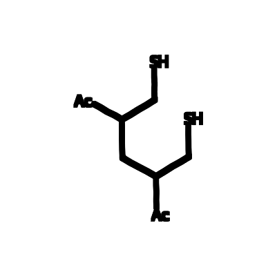 CC(=O)C(CS)CC(CS)C(C)=O